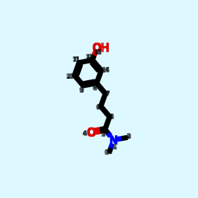 CN(C)C(=O)CCCc1cccc(O)c1